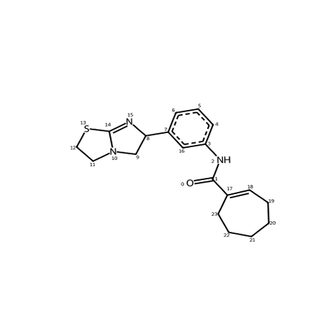 O=C(Nc1cccc(C2CN3CCSC3=N2)c1)C1=CCCCCC1